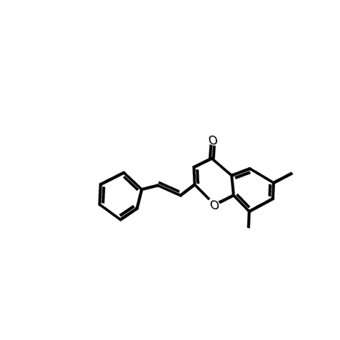 Cc1cc(C)c2oc(C=Cc3ccccc3)cc(=O)c2c1